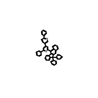 c1ccc(-c2ccc(-c3cc(-c4ccccc4)nc(-c4c5c(cc6ccccc46)C(c4ccccc4)(c4ccccc4)c4ccccc4-5)c3)cn2)cc1